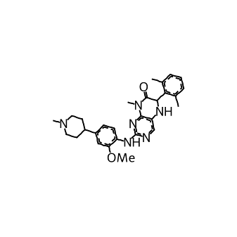 COc1cc(C2CCN(C)CC2)ccc1Nc1ncc2c(n1)N(C)C(=O)C(c1c(C)cccc1C)N2